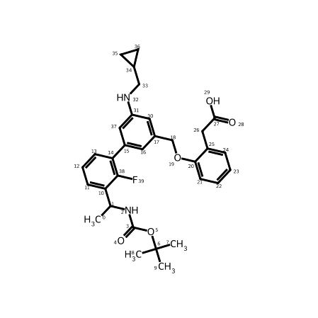 CC(NC(=O)OC(C)(C)C)c1cccc(-c2cc(COc3ccccc3CC(=O)O)cc(NCC3CC3)c2)c1F